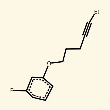 CCC#CCCCOc1cc[c]c(F)c1